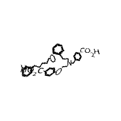 O=C(O)c1ccc(CN(CCOc2ccc(C(=O)O)cc2)CCc2ccccc2OCCCCCc2ccccc2)cc1